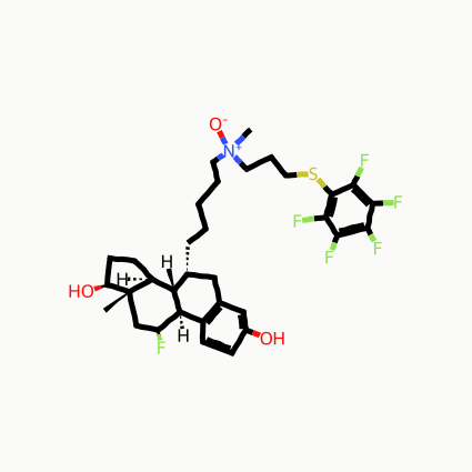 C[C@]12C[C@H](F)[C@@H]3c4ccc(O)cc4C[C@@H](CCCCC[N+](C)([O-])CCCSc4c(F)c(F)c(F)c(F)c4F)[C@H]3[C@@H]1CC[C@@H]2O